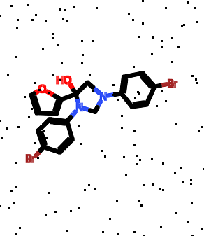 OC1(c2ccco2)CN(c2ccc(Br)cc2)CN1c1ccc(Br)cc1